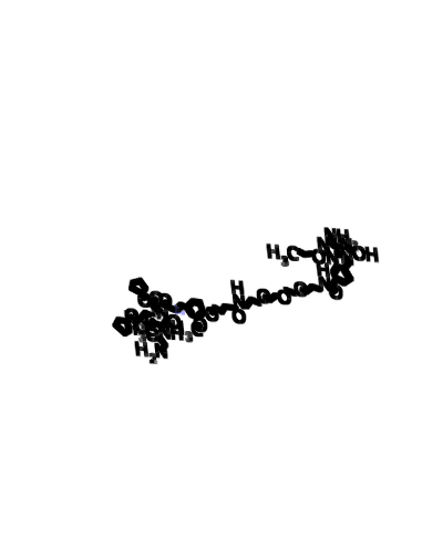 CCCCOc1nc(N)c2nc(O)n(Cc3ccc(C(=O)NCCCOCCOCCOCCCNC(=O)CCCOc4ccc(/C=C/C(=O)N(C(=O)[C@H](NC(=O)CN)C(C)C)[C@H](CCC(=O)OC5CCCC5)C(=O)OC5CCCC5)cc4OC)cc3)c2n1